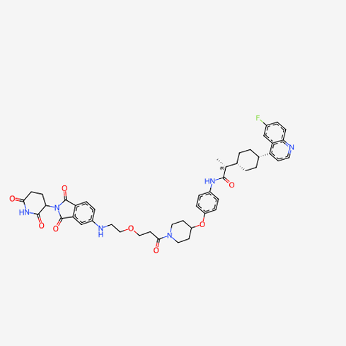 C[C@@H](C(=O)Nc1ccc(OC2CCN(C(=O)CCOCCNc3ccc4c(c3)C(=O)N(C3CCC(=O)NC3=O)C4=O)CC2)cc1)[C@H]1CC[C@@H](c2ccnc3ccc(F)cc32)CC1